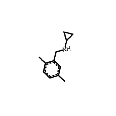 Cc1ccc(C)c(CNC2CC2)c1